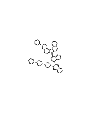 c1ccc(-c2ccc(-c3ccc(-c4nc5ccccc5nc4-c4ccc(-n5c6ccc7ccccc7c6c6c7ccc(-c8ccccc8)cc7ccc65)c5ccccc45)cc3)cc2)cc1